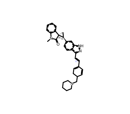 CN1C(=O)[C@@]2(C[C@H]2c2ccc3c(/C=C/C4=CCC(CN5CCCCC5)C=C4)n[nH]c3c2)c2ccccc21